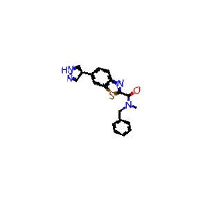 CN(Cc1ccccc1)C(=O)c1nc2ccc(-c3cn[nH]c3)cc2s1